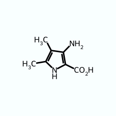 Cc1[nH]c(C(=O)O)c(N)c1C